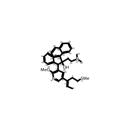 C/C=C(\CCSC)c1cnc(OC)c(C(c2ccccc2)C(O)(CCN(C)C)c2cccc3ccccc23)c1